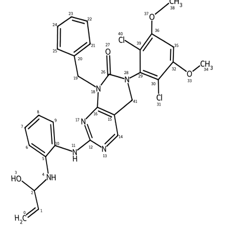 C=CC(O)Nc1ccccc1Nc1ncc2c(n1)N(Cc1ccccc1)C(=O)N(c1c(Cl)c(OC)cc(OC)c1Cl)C2